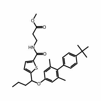 CCCC(Oc1cc(C)c(-c2ccc(C(C)(C)C)cc2)c(C)c1)c1ccc(C(=O)NCCC(=O)OC)s1